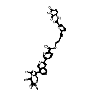 CCc1nc(-c2cccc3cc(-c4ccc(C(=O)NCCC#Cc5cccc(C(=O)NC6CCC(=O)NC6=O)n5)nc4)ncc23)c2n1C(CC)C(=O)N(C)C2